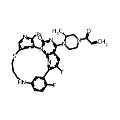 C=CC(=O)N1CCN(c2nc(=O)n3c4nc(c(F)cc24)-c2cc(ccc2F)NCCCSc2cnc(C(C)C)c-3c2)[C@@H](C)C1